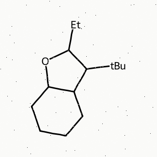 CCC1OC2CCCCC2C1C(C)(C)C